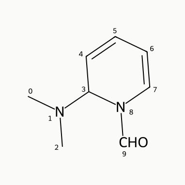 CN(C)C1C=CC=CN1C=O